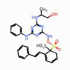 CC(CO)Nc1nc(NOS(=O)(=O)C2(S(=O)(=O)O)CC=CC=C2C=Cc2ccccc2)nc(Nc2ccccc2)n1